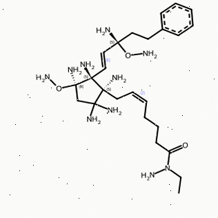 CCN(N)C(=O)CCC/C=C\C[C@@]1(N)C(N)(N)C[C@@](N)(ON)[C@]1(N)/C=C/[C@](N)(CCc1ccccc1)ON